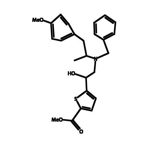 COC(=O)c1ccc(C(O)CN(Cc2ccccc2)C(C)Cc2ccc(OC)cc2)s1